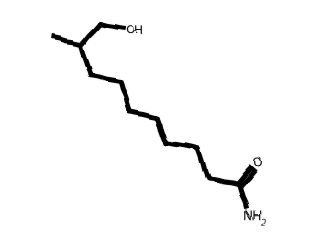 CC(CO)CCCCCCCC(N)=O